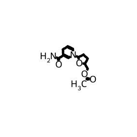 CC(=O)OCC1CCC(N2C=CCC(C(N)=O)=C2)O1